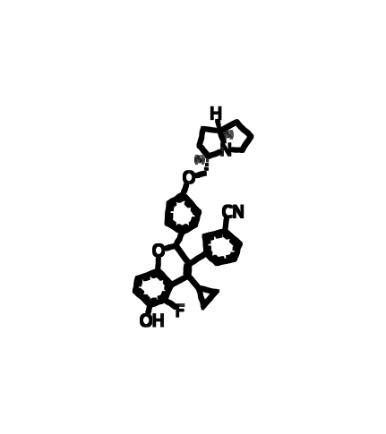 N#Cc1cccc(C2=C(C3CC3)c3c(ccc(O)c3F)OC2c2ccc(OC[C@@H]3CC[C@@H]4CCCN43)cc2)c1